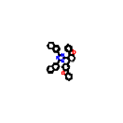 C1=CC2C=CC(c3nc(C4=C(C5=Cc6c(oc7ccccc67)CC5)CCc5oc6ccccc6c54)nc(-c4ccc5c(c4)CCC=C5)n3)=CC2C=C1